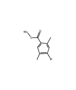 Cc1cc(C(=O)OC(C)(C)C)c(C)cc1Br